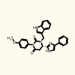 COc1ccc(N2C(=O)C[C@@H](c3nc(-c4ccccc4)c[nH]3)N(Cc3c[nH]c4ccccc34)C2=S)cc1